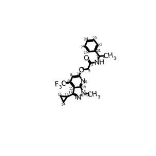 CC(NC(=O)COc1cc(C(F)(F)F)c2c(C3CC3)nn(C)c2n1)c1ccccc1